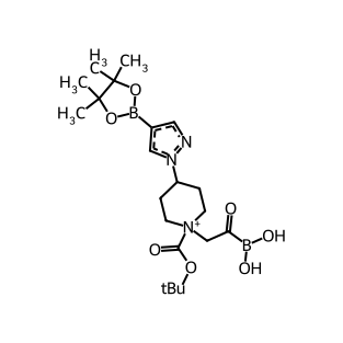 CC(C)(C)OC(=O)[N+]1(CC(=O)B(O)O)CCC(n2cc(B3OC(C)(C)C(C)(C)O3)cn2)CC1